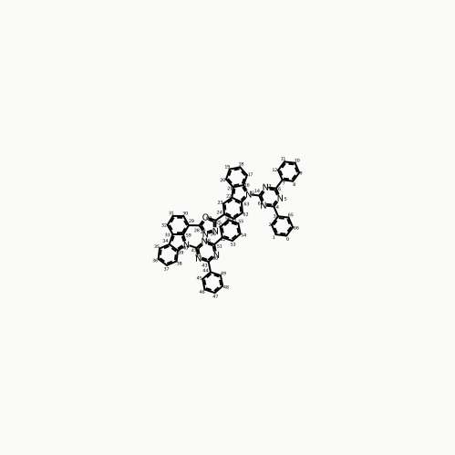 c1ccc(-c2nc(-c3ccccc3)nc(-n3c4ccccc4c4cc(-c5nnc(-c6cccc7c8ccccc8n(-c8nc(-c9ccccc9)nc(-c9ccccc9)n8)c67)o5)ccc43)n2)cc1